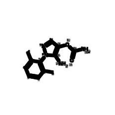 Cc1cccc(C)c1-n1ncc(OC(N)=O)c1N